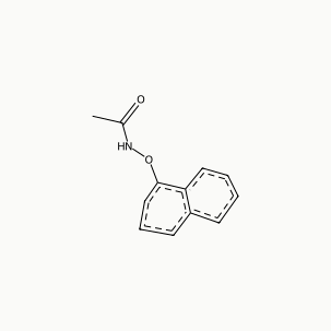 CC(=O)NOc1cccc2ccccc12